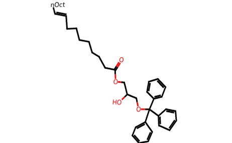 CCCCCCCCC=CCCCCCCCC(=O)OCC(O)COC(c1ccccc1)(c1ccccc1)c1ccccc1